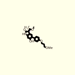 COCCCOc1ccc(-c2cc3c(cc2O)NC(=O)/C3=C(\C)OF)cc1